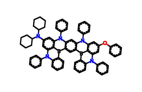 c1ccc(Oc2cc3c4c(c2)N(c2ccccc2)c2cc5c(cc2B4c2ccccc2N3c2ccccc2)B2c3ccccc3N(c3ccccc3)c3cc(N(C4CCCCC4)C4CCCCC4)cc(c32)N5c2ccccc2)cc1